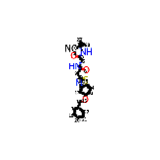 N#CC1(NC(=O)CNC(=O)Cc2nc3cc(OCc4ccccc4)ccc3s2)CC1